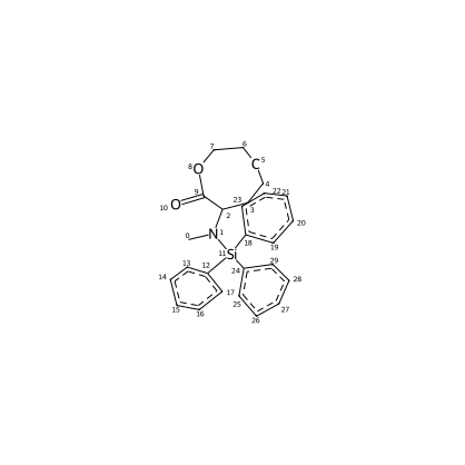 CN(C1CCCCCOC1=O)[Si](c1ccccc1)(c1ccccc1)c1ccccc1